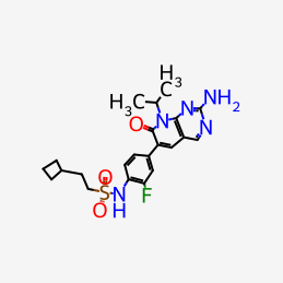 CC(C)n1c(=O)c(-c2ccc(NS(=O)(=O)CCC3CCC3)c(F)c2)cc2cnc(N)nc21